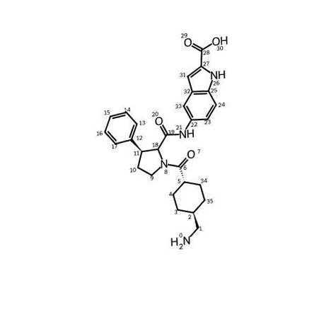 NC[C@H]1CC[C@H](C(=O)N2CC[C@@H](c3ccccc3)C2C(=O)Nc2ccc3[nH]c(C(=O)O)cc3c2)CC1